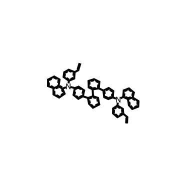 C=Cc1cccc(N(c2ccc(-c3ccccc3-c3ccccc3-c3ccc(N(c4cccc(C=C)c4)c4cccc5ccccc45)cc3)cc2)c2cccc3ccccc23)c1